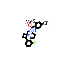 CSc1cc(C(F)(F)F)ccc1C(=O)NCC1(N2CCCC2)CCC1c1cccc(F)c1